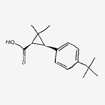 CC(C)(C)c1ccc([C@H]2[C@@H](C(=O)O)C2(C)C)cc1